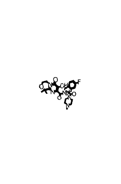 CN1CCN(S(=O)(=O)c2cc(F)ccc2CNC(=O)c2nc3n(c(=O)c2O)CCOC3(C)C)CC1